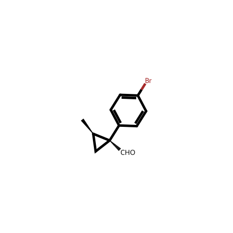 C[C@@H]1C[C@@]1(C=O)c1ccc(Br)cc1